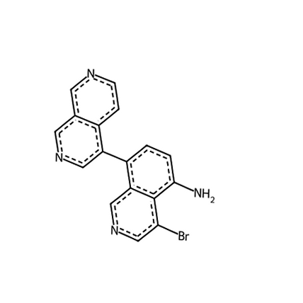 Nc1ccc(-c2cncc3cnccc23)c2cncc(Br)c12